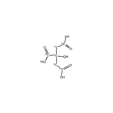 O=[12C](O)[12C](O)([12CH2][14C](=O)O)[12CH2][14C](=O)O